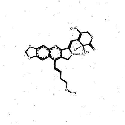 CCCOCC/C=C/c1c2c(nc3cc4c(cc13)OCO4)/C(=C/C1=C(C=O)COC(=O)[C@]1(O)CC)N(C)C2